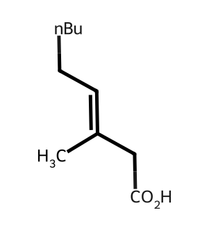 CCCCC/C=C(\C)CC(=O)O